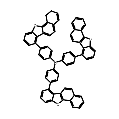 C1=Cc2ccc3c(oc4cccc(-c5ccc(N(c6ccc(-c7cccc8oc9c%10ccccc%10ccc9c78)cc6)c6ccc(-c7cccc8oc9c%10ccccc%10ccc9c78)cc6)cc5)c43)c2CC1